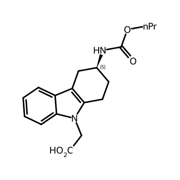 CCCOC(=O)N[C@H]1CCc2c(c3ccccc3n2CC(=O)O)C1